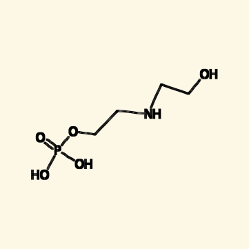 O=P(O)(O)OCCNCCO